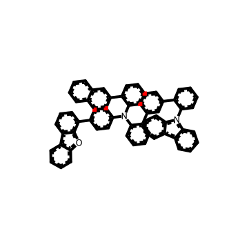 c1cc(-c2ccccc2N(c2ccc(-c3cccc4c3oc3ccccc34)cc2)c2ccccc2-c2ccc3ccccc3c2)cc(-c2ccccc2-n2c3ccccc3c3ccccc32)c1